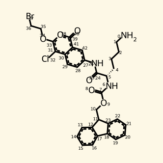 NCCCC[C@H](NC(=O)OCC1c2ccccc2-c2ccccc21)C(=O)Nc1ccc2c(Cl)c(OCCBr)oc(=O)c2c1